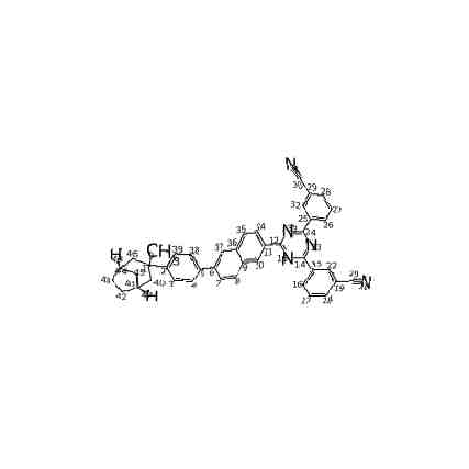 CC1(c2ccc(-c3ccc4cc(-c5nc(-c6cccc(C#N)c6)nc(-c6cccc(C#N)c6)n5)ccc4c3)cc2)C[C@@H]2CC[C@@H](C2)C1